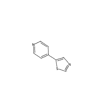 [c]1ncc(-c2ccncc2)s1